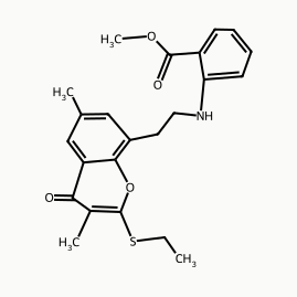 CCSc1oc2c(CCNc3ccccc3C(=O)OC)cc(C)cc2c(=O)c1C